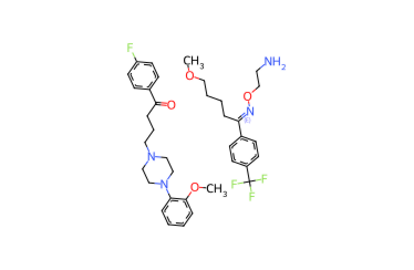 COCCCC/C(=N\OCCN)c1ccc(C(F)(F)F)cc1.COc1ccccc1N1CCN(CCCC(=O)c2ccc(F)cc2)CC1